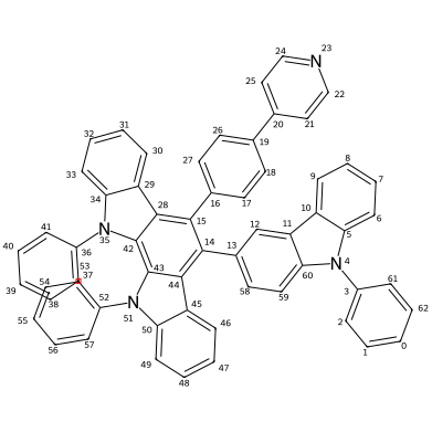 c1ccc(-n2c3ccccc3c3cc(-c4c(-c5ccc(-c6ccncc6)cc5)c5c6ccccc6n(-c6ccccc6)c5c5c4c4ccccc4n5-c4ccccc4)ccc32)cc1